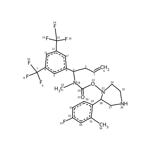 C=CCC(c1cc(C(F)(F)F)cc(C(F)(F)F)c1)N(C)C(=O)ON1CCNCC1c1ccc(F)cc1C